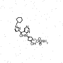 NS(=O)(=O)OC[C@H]1C[C@@H](Nc2ncncc2C(=O)c2ccn(CC3CCCCC3)n2)C[C@@H]1O